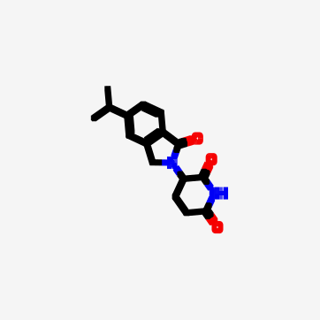 CC(C)c1ccc2c(c1)CN(C1CCC(=O)NC1=O)C2=O